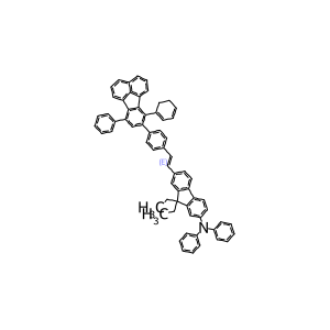 CCC1(CC)c2cc(/C=C/c3ccc(-c4cc(-c5ccccc5)c5c(c4C4=CC=CCC4)-c4cccc6cccc-5c46)cc3)ccc2-c2ccc(N(c3ccccc3)c3ccccc3)cc21